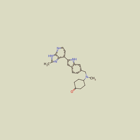 Cc1nc2c(-c3cc4ccc(CN(C)C5CCC(=O)CC5)cc4[nH]3)ccnc2[nH]1